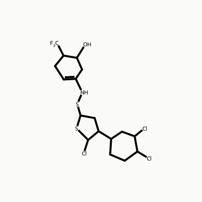 OC1CC(NSC2CC(C3CCC(Cl)C(Cl)C3)C(Cl)S2)=CCC1C(F)(F)F